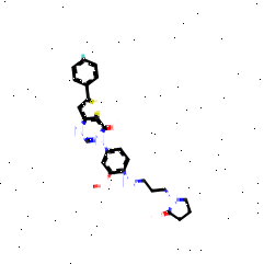 COc1cc(-n2cnc3cc(-c4ccc(F)cc4)sc3c2=O)ccc1NCCCN1CCCC1=O